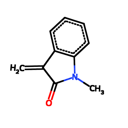 C=C1C(=O)N(C)c2ccccc21